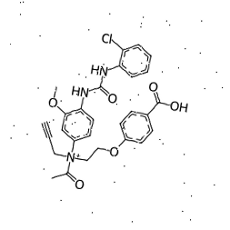 C#CC[N+](CCOc1ccc(C(=O)O)cc1)(C(C)=O)c1ccc(NC(=O)Nc2ccccc2Cl)c(OC)c1